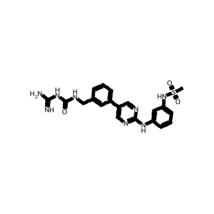 CS(=O)(=O)Nc1cccc(Nc2ncc(-c3cccc(CNC(=O)NC(=N)N)c3)cn2)c1